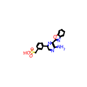 Nc1ncc(-c2cccc(CS(=O)(=O)O)c2)nc1-c1nc2ccccc2o1